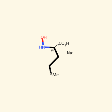 CSCC[C@H](NO)C(=O)O.[Na]